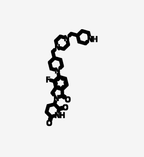 O=C1CCC(N2Cc3c(ccc(N4CCC(CN5CCN(CC6CCNCC6)CC5)CC4)c3F)C2=O)C(=O)N1